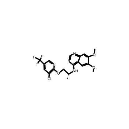 COc1cc2ncnc(N[C@H](C)COc3ncc(C(F)(F)F)cc3Cl)c2cc1OC